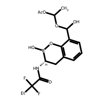 CCC(F)(F)C(=O)N[C@H]1Cc2cccc(C(O)OC(C)OC(C)=O)c2OB1O